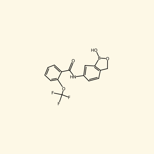 O=C(Nc1ccc2c(c1)B(O)OC2)c1ccccc1OC(F)(F)F